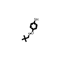 CC(C)(C)CSOc1ccc(S)cc1